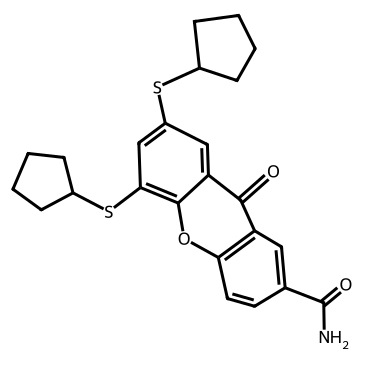 NC(=O)c1ccc2oc3c(SC4CCCC4)cc(SC4CCCC4)cc3c(=O)c2c1